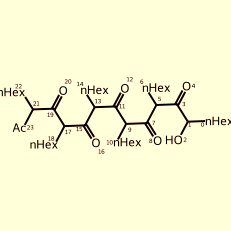 CCCCCCC(O)C(=O)C(CCCCCC)C(=O)C(CCCCCC)C(=O)C(CCCCCC)C(=O)C(CCCCCC)C(=O)C(CCCCCC)C(C)=O